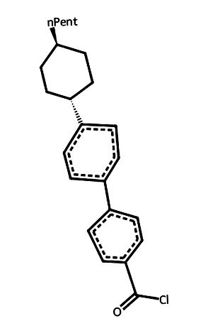 CCCCC[C@H]1CC[C@H](c2ccc(-c3ccc(C(=O)Cl)cc3)cc2)CC1